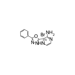 NC1=NC=CN[C@@]1(Br)c1nnc(-c2ccccc2)o1